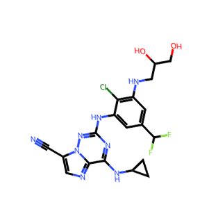 N#Cc1cnc2c(NC3CC3)nc(Nc3cc(C(F)F)cc(NCC(O)CO)c3Cl)nn12